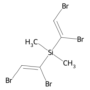 C[Si](C)(/C(Br)=C/Br)/C(Br)=C/Br